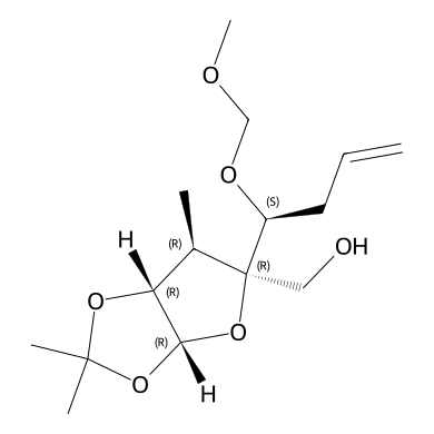 C=CC[C@H](OCOC)[C@@]1(CO)O[C@@H]2OC(C)(C)O[C@@H]2[C@H]1C